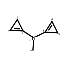 CN(C1=CC1)C1=CC1